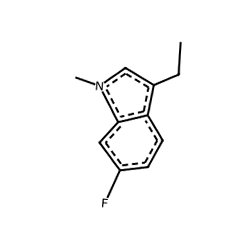 CCc1cn(C)c2cc(F)ccc12